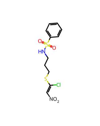 O=[N+]([O-])/C=C(\Cl)SCCCNS(=O)(=O)c1ccccc1